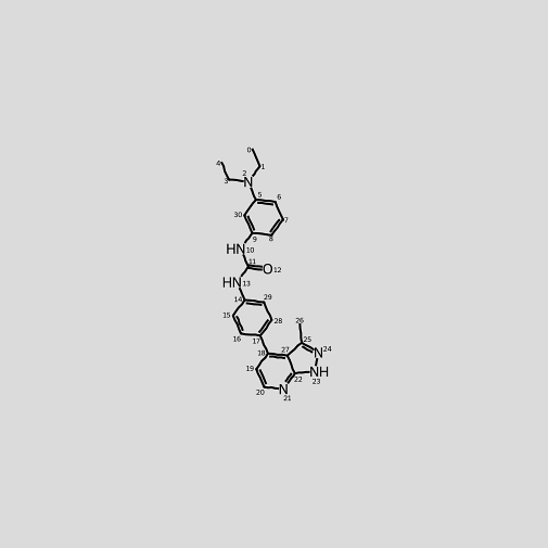 CCN(CC)c1cccc(NC(=O)Nc2ccc(-c3ccnc4[nH]nc(C)c34)cc2)c1